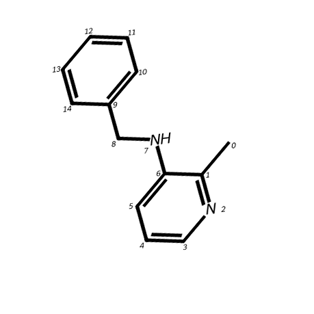 Cc1ncccc1NCc1ccccc1